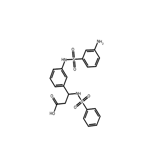 Nc1cccc(S(=O)(=O)Nc2cccc(C(CC(=O)O)NS(=O)(=O)c3ccccc3)c2)c1